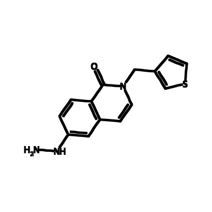 NNc1ccc2c(=O)n(Cc3ccsc3)ccc2c1